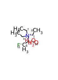 CC[N+](CC)(CC)CC.O.O.[F-]